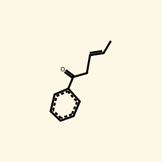 CC=CCC(=O)c1ccccc1